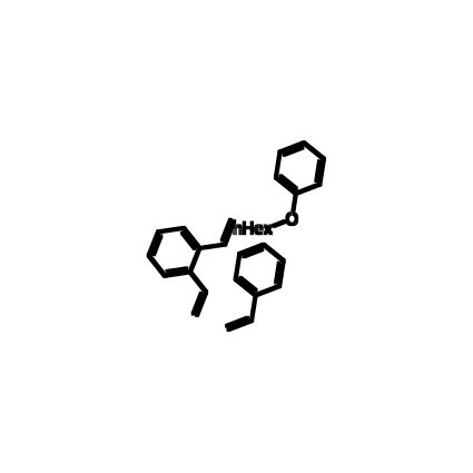 C=Cc1ccccc1.C=Cc1ccccc1C=C.CCCCCCOc1ccccc1